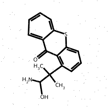 CC(C)(c1cccc2sc3ccccc3c(=O)c12)C(N)O